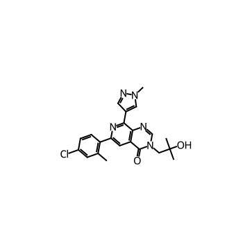 Cc1cc(Cl)ccc1-c1cc2c(=O)n(CC(C)(C)O)cnc2c(-c2cnn(C)c2)n1